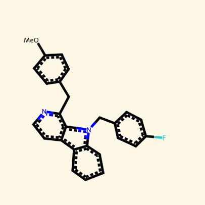 COc1ccc(Cc2nccc3c4ccccc4n(Cc4ccc(F)cc4)c23)cc1